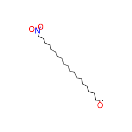 O=[C]CCCCCCCCCCCCCCCCCCC[N+](=O)[O-]